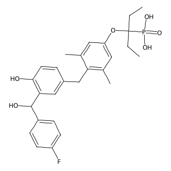 CCC(CC)(Oc1cc(C)c(Cc2ccc(O)c(C(O)c3ccc(F)cc3)c2)c(C)c1)P(=O)(O)O